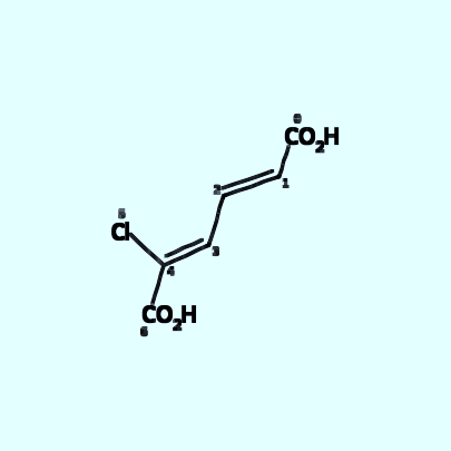 O=C(O)/C=C/C=C(\Cl)C(=O)O